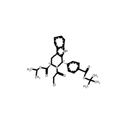 CC(C)OC(=O)[C@H]1Cc2c([nH]c3ccccc23)[C@H](c2ccc(C(=O)OC(C)(C)C)cc2)N1C(=O)CCl